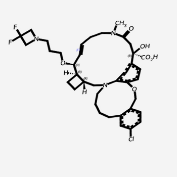 CN1CC/C=C/[C@H](OCCCN2CC(F)(F)C2)[C@@H]2CC[C@H]2CN2CCCCc3cc(Cl)ccc3COc3ccc(cc32)[C@@](O)(C(=O)O)CC1=O